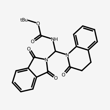 CC(C)(C)OC(=O)NC(N1C(=O)c2ccccc2C1=O)N1C(=O)CCc2ccccc21